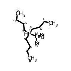 CCCC[PH](CCCC)(CCCC)[Fe]([Br])[Br]